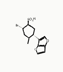 CC1C[C@H](Br)C(S(=O)(=O)O)C[C@@H]1c1coc2ccoc12